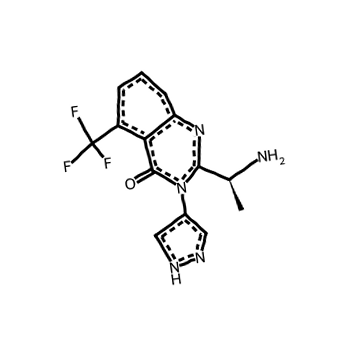 C[C@H](N)c1nc2cccc(C(F)(F)F)c2c(=O)n1-c1cn[nH]c1